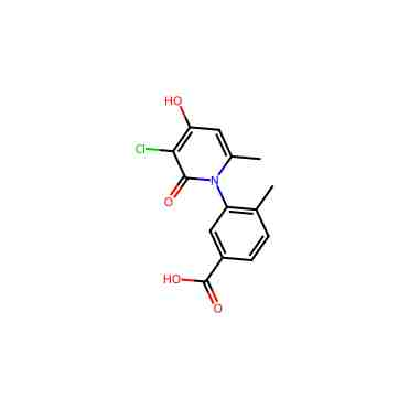 Cc1ccc(C(=O)O)cc1-n1c(C)cc(O)c(Cl)c1=O